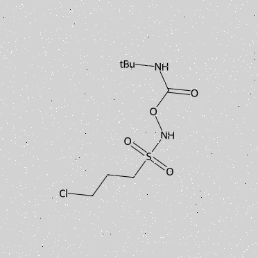 CC(C)(C)NC(=O)ONS(=O)(=O)CCCCl